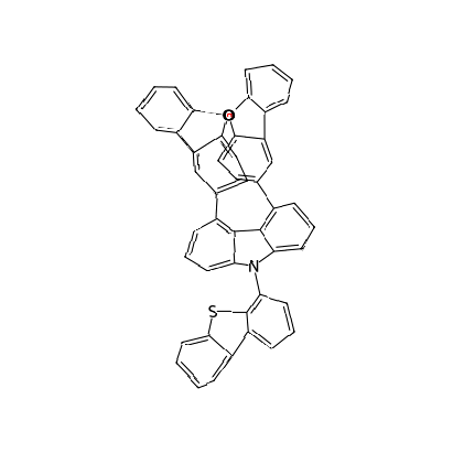 c1ccc2c(c1)oc1ccc(-c3cccc4c3c3c(-c5ccc6oc7ccccc7c6c5)cccc3n4-c3cccc4c3sc3ccccc34)cc12